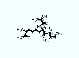 CC[C@@H](C)NC(=O)[C@@](C)(CCCCN(C)C(C)=O)NC(=O)C(C)C